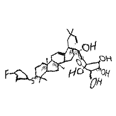 CC1(C)CC[C@]2([C@H](O)[C@H]3OC4(O)C(CO)[C@H](O)C(O)C34)CCC3C(=CCC4[C@@]3(C)CCC3C(C)(C)[C@@H](SC5CC(F)C5)CC[C@@]34C)C2C1